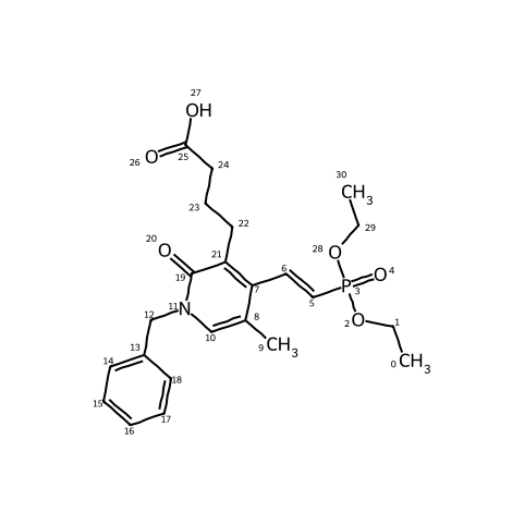 CCOP(=O)(C=Cc1c(C)cn(Cc2ccccc2)c(=O)c1CCCC(=O)O)OCC